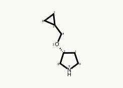 C1C[C@@H](OCC2CC2)CN1